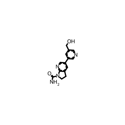 NC(=O)N1CCc2cc(-c3cncc(CO)c3)cnc21